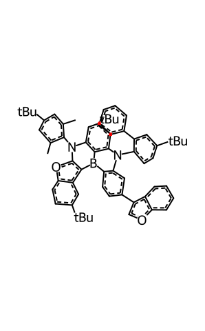 Cc1cc(C(C)(C)C)cc(C)c1N1c2cc(C(C)(C)C)cc3c2B(c2ccc(-c4coc5ccccc45)cc2N3c2ccc(C(C)(C)C)cc2-c2ccccc2)c2c1oc1ccc(C(C)(C)C)cc21